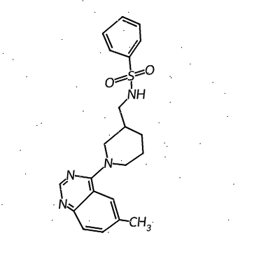 Cc1ccc2ncnc(N3CCCC(CNS(=O)(=O)c4ccccc4)C3)c2c1